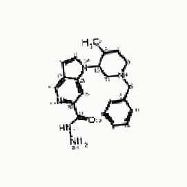 CC1CCN(Cc2ccccc2)CC1n1ccc2cnc(C(=O)NN)cc21